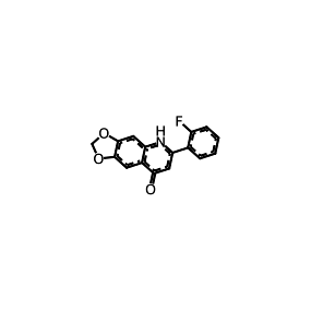 O=c1cc(-c2ccccc2F)[nH]c2cc3c(cc12)OCO3